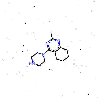 Cc1nc2c(c(N3CCNCC3)n1)CCCC2